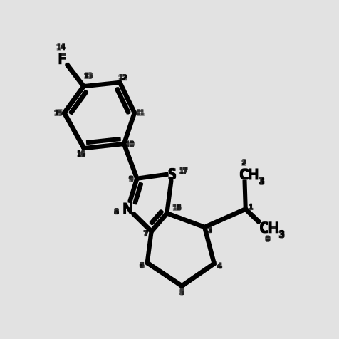 CC(C)C1CCCc2nc(-c3ccc(F)cc3)sc21